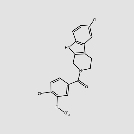 O=C(c1ccc(Cl)c(OC(F)(F)F)c1)N1CCc2c([nH]c3ccc(Cl)cc23)C1